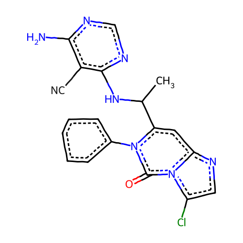 CC(Nc1ncnc(N)c1C#N)c1cc2ncc(Cl)n2c(=O)n1-c1ccccc1